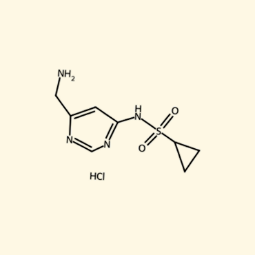 Cl.NCc1cc(NS(=O)(=O)C2CC2)ncn1